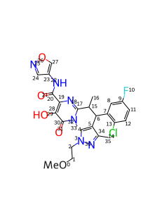 COCCn1cc(C(c2cc(F)ccc2Cl)C(C)c2nc(C(=O)Nc3cnoc3)c(O)c(=O)n2C)c(C)n1